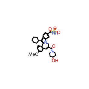 COc1ccc2c(c1)C=C(C(=O)N1CCC(O)CC1)Cn1c-2c(C2CCCCC2)c2ccc(C(=O)N[SH](=O)=O)cc21